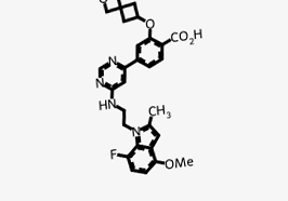 COc1ccc(F)c2c1cc(C)n2CCNc1cc(-c2ccc(C(=O)O)c(OC3CC4(COC4)C3)c2)ncn1